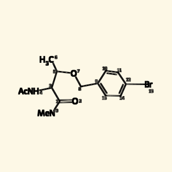 CNC(=O)C(NC(C)=O)C(C)OCc1ccc(Br)cc1